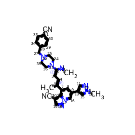 C=N/C(=C\C=C(/C)c1cc(-c2cnn(C)c2)cn2ncc(C#N)c12)N1CCN(Cc2ccc(C#N)cc2)CC1